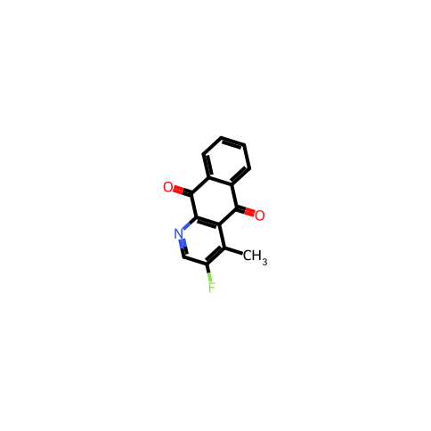 Cc1c(F)cnc2c1C(=O)c1ccccc1C2=O